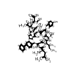 CC[C@H](C)[C@H](NC(=O)[C@H](Cc1ccc(-c2ccccc2)cc1)NC(=O)[C@@H](N)CC(C)C)C(=O)N[C@@H](CO)C(=O)N[C@@H](Cc1ccc(O)cc1)C(=O)N[C@@H](CC(=O)O)C(=O)N1CCC[C@H]1C(=O)N[C@H](C(=O)N[C@@H](CS)C(=O)O)C(C)C